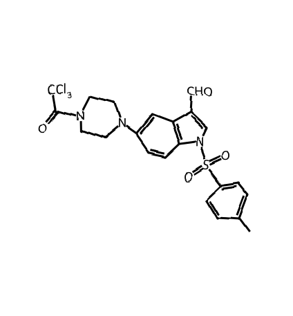 Cc1ccc(S(=O)(=O)n2cc(C=O)c3cc(N4CCN(C(=O)C(Cl)(Cl)Cl)CC4)ccc32)cc1